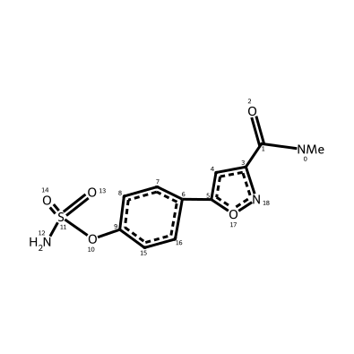 CNC(=O)c1cc(-c2ccc(OS(N)(=O)=O)cc2)on1